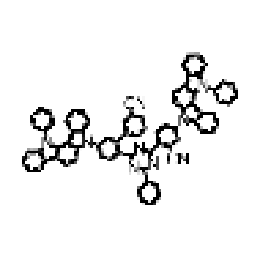 N#Cc1cccc(-c2cc(-n3c4ccccc4c4c3ccc3c5ccccc5n(-c5ccccc5)c34)ccc2-c2nc(-c3ccccc3)nc(-c3ccc(-n4c5ccccc5c5c4ccc4c6ccccc6n(-c6ccccc6)c45)cc3C#N)n2)c1